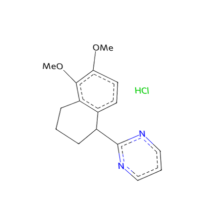 COc1ccc2c(c1OC)CCCC2c1ncccn1.Cl